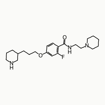 O=C(NCCN1CCCCC1)c1ccc(OCCCC2CCCNC2)cc1F